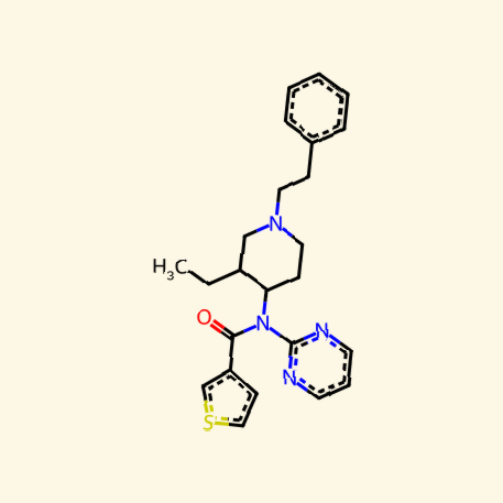 CCC1CN(CCc2ccccc2)CCC1N(C(=O)c1ccsc1)c1ncccn1